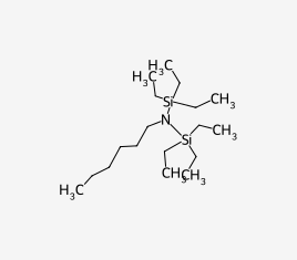 CCCCCCN([Si](CC)(CC)CC)[Si](CC)(CC)CC